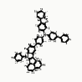 c1ccc(-c2ccc(N(c3ccc(-c4ccc5c(c4)c4c(n5-c5ccccc5)-c5cccc6cccc-4c56)cc3)c3ccc4c(c3)sc3ccccc34)cc2)cc1